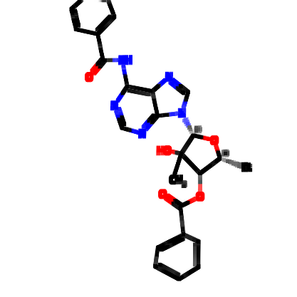 CC[C@H]1O[C@@H](n2cnc3c(NC(=O)c4ccccc4)ncnc32)C(C)(O)C1OC(=O)c1ccccc1